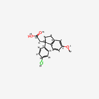 COc1ccc2c(c1)CCC2(CC(=O)O)c1ccc(Cl)cc1